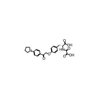 O=C(O)C(=O)N[C@H](Cc1ccc(OCC(=O)c2ccc(N3CCCC3)cc2)cc1)C(=O)O